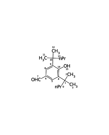 CCCC(C)(C)c1cc(C=O)cc(C(C)(C)CCC)c1O